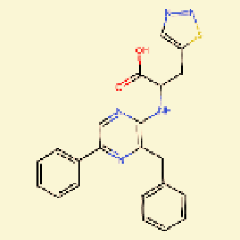 O=C(O)C(Cc1cnns1)Nc1ncc(-c2ccccc2)nc1Cc1ccccc1